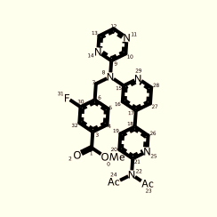 COC(=O)c1ccc(CN(c2cnccn2)c2cc(-c3ccc(N(C(C)=O)C(C)=O)nc3)ccn2)c(F)c1